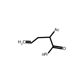 C=CCC(C(C)=O)C(=O)CCC